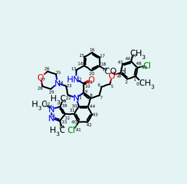 Cc1cc(OCCCc2c(C(=O)NCc3cccc(C(=O)O)c3)n(CCN3CCOCC3)c3c(-c4c(C)nn(C)c4C)c(Cl)ccc23)cc(C)c1Cl